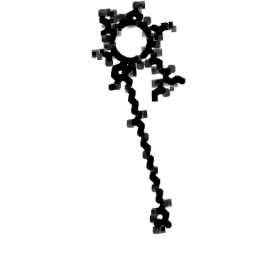 CCC(=O)N[C@H](C(=O)NCC(=O)N[C@H]1C[S+]([O-])c2[nH]c3c(CSCCCCNC(=O)CCOCCOCCOCCOCCNC(=O)CC(C)C(=O)O)c(OC)ccc3c2C[C@@H](C(N)=O)NC(=O)[C@H]([C@@H](C)[C@@H](O)CO)NC(=O)[C@@H]2C[C@@H](O)CN2C(=O)[C@H](CC(N)=O)NC1=O)[C@@H](C)CC